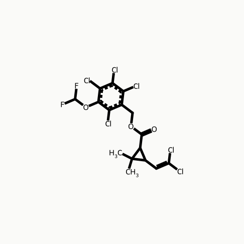 CC1(C)C(C=C(Cl)Cl)C1C(=O)OCc1c(Cl)c(Cl)c(Cl)c(OC(F)F)c1Cl